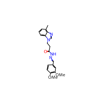 COc1ccc(C=NNC(=O)CCn2cnc3c(C)cccc32)cc1OC